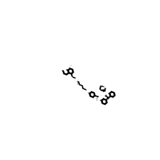 O=C(Nc1cccc(C(O)(C(=O)OC2CN3CCC2CC3)c2ccccc2)c1)c1ccc(OCCCCCNCC(O)c2ccc(O)c3[nH]c(=O)ccc23)cc1